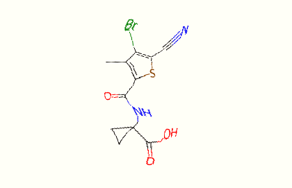 Cc1c(C(=O)NC2(C(=O)O)CC2)sc(C#N)c1Br